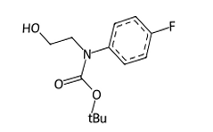 CC(C)(C)OC(=O)N(CCO)c1ccc(F)cc1